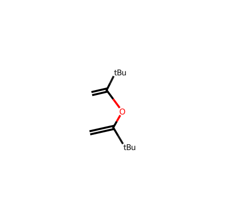 C=C(OC(=C)C(C)(C)C)C(C)(C)C